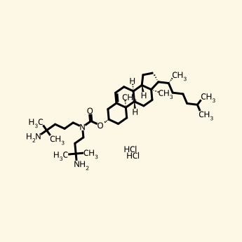 CC(C)CCC[C@@H](C)[C@H]1CC[C@H]2[C@@H]3CC=C4C[C@@H](OC(=O)N(CCCC(C)(C)N)CCC(C)(C)N)CC[C@]4(C)[C@H]3CC[C@]12C.Cl.Cl